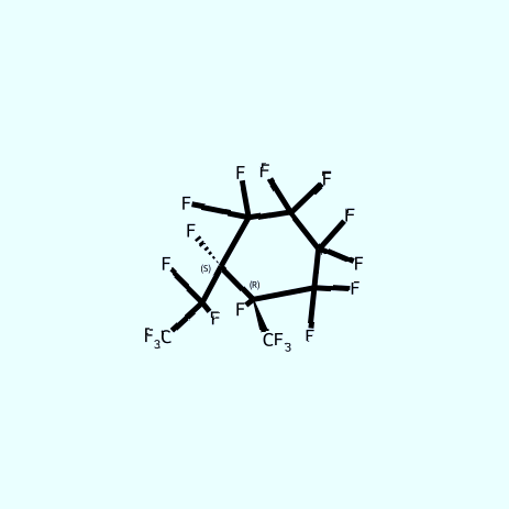 FC(F)(F)C(F)(F)[C@@]1(F)C(F)(F)C(F)(F)C(F)(F)C(F)(F)[C@@]1(F)C(F)(F)F